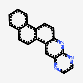 c1ccc2c(c1)ccc1c3cc4nccnc4nc3ccc21